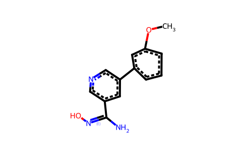 COc1cccc(-c2cncc(/C(N)=N\O)c2)c1